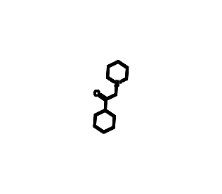 O=C(C[S+]1CCCCC1)C1CCCCC1